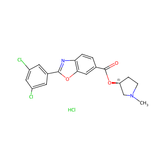 CN1CC[C@H](OC(=O)c2ccc3nc(-c4cc(Cl)cc(Cl)c4)oc3c2)C1.Cl